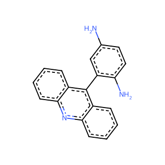 Nc1ccc(N)c(-c2c3ccccc3nc3ccccc23)c1